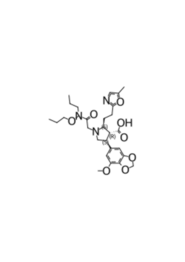 CCCON(CCC)C(=O)CN1C[C@H](c2cc(OC)c3c(c2)OCO3)[C@@H](C(=O)O)[C@@H]1CCc1ncc(C)o1